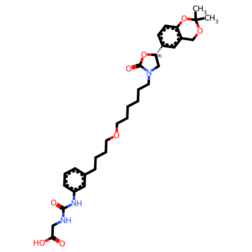 CC1(C)OCc2cc([C@@H]3CN(CCCCCCOCCCCc4cccc(NC(=O)NCC(=O)O)c4)C(=O)O3)ccc2O1